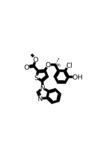 COC(=O)c1sc(-n2cnc3ccccc32)cc1O[C@H](C)c1cccc(O)c1Cl